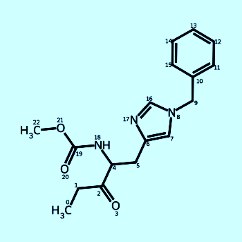 CCC(=O)C(Cc1cn(Cc2ccccc2)cn1)NC(=O)OC